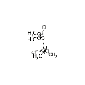 CCO[Si](C=CCCl)(OCC)OCCCO[Si](C=CCCl)(OCC)OCC